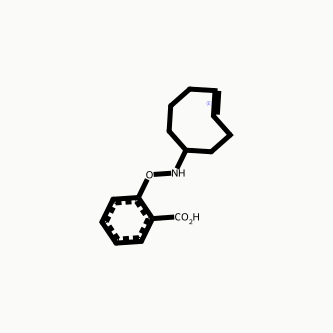 O=C(O)c1ccccc1ONC1CC/C=C/CCC1